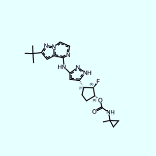 CC1(NC(=O)O[C@@H]2CC[C@H](c3cc(Nc4nccn5nc(C(C)(C)C)cc45)n[nH]3)[C@H]2F)CC1